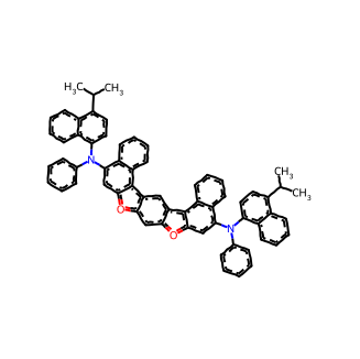 CC(C)c1ccc(N(c2ccccc2)c2cc3oc4cc5oc6cc(N(c7ccccc7)c7ccc(C(C)C)c8ccccc78)c7ccccc7c6c5cc4c3c3ccccc23)c2ccccc12